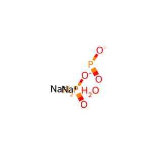 O.O=P[O-].O=[PH2][O-].[Na+].[Na+]